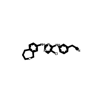 N#CCc1cccc(Nc2nc(Nc3ccc4c(c3)CCCCC4)ncc2Cl)c1